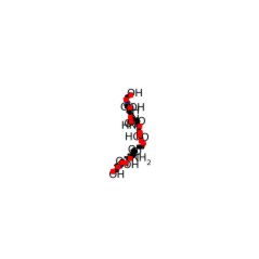 C/C(=C\C(=O)N(O)CCCC(N)C(=O)OCC/C(C)=C/C(=O)N(O)CCCC1NC(=O)C(CCCN(O)C(=O)/C=C(\C)CCO)NC1=O)CCO